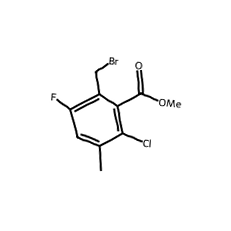 COC(=O)c1c(Cl)c(C)cc(F)c1CBr